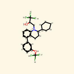 OC(CN1c2cccc(-c3cccc(OC(F)(F)F)c3)c2CCC1C1CCCCC1)C(F)(F)F